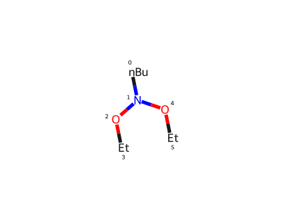 CCCCN(OCC)OCC